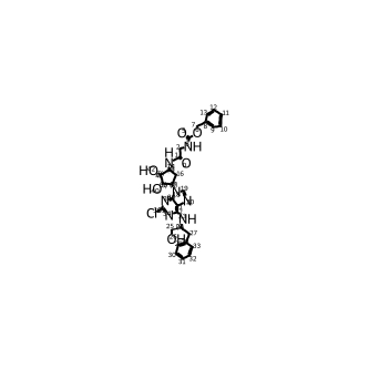 O=C(CNC(=O)OCc1ccccc1)N[C@H]1C[C@@H](n2cnc3c(N[C@H](CO)Cc4ccccc4)nc(Cl)nc32)[C@H](O)[C@@H]1O